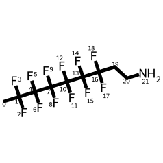 CC(F)(F)C(F)(F)C(F)(F)C(F)(F)C(F)(F)C(F)(F)CCN